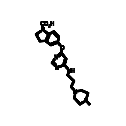 CN1CCN(CCCNc2cc(Oc3ccc4c(c3)CCN4C(=O)O)ncn2)CC1